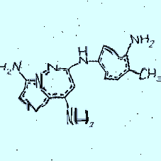 Cc1ccc(Nc2cc(N)c3ncc(N)n3n2)cc1N